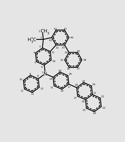 CC1(C)c2ccc(N(c3ccccc3)c3ccc(-c4ccc5ccccc5c4)cc3)cc2-c2c(-c3ccccc3)cccc21